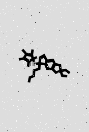 CCCCC[C]1([Hf][C]2(C)C(C)=C(C)C(C)=C2C)C=Cc2cc3c(cc21)CC(CC)(CC)C3